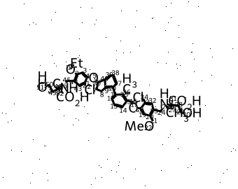 CCOc1cc(O[C@H]2CCc3c(-c4cccc(COc5cc(COC)c(CN[C@@](C)(CCO)C(=O)O)cc5Cl)c4C)cccc32)c(Cl)cc1CN[C@@](C)(CCO)C(=O)O